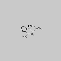 CC(C)c1ccccc1C1CCN(C)CN1